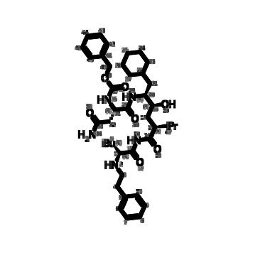 CC[C@H](C)[C@H](NCCc1ccccc1)C(=O)NC(=O)[C@@H](C[C@H](O)[C@H](CC1CCCCC1)NC(=O)[C@H](CC(N)=O)NC(=O)OCc1ccccc1)C(C)C